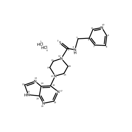 Cl.Cl.S=C(NCc1cccnc1)N1CCN(c2ncnc3[nH]cnc23)CC1